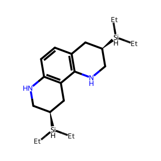 CC[SiH](CC)[C@H]1CNc2c(ccc3c2C[C@@H]([SiH](CC)CC)CN3)C1